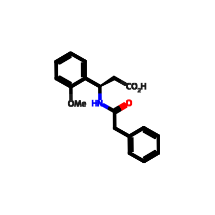 COc1ccccc1[C@@H](CC(=O)O)NC(=O)Cc1ccccc1